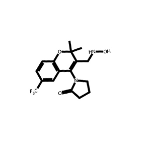 CC1(C)Oc2ccc(C(F)(F)F)cc2C(N2CCCC2=O)=C1CNO